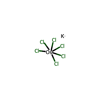 [Cl][Os]([Cl])([Cl])([Cl])([Cl])[Cl].[K]